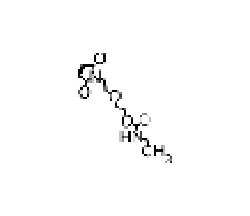 CCNC(=O)OCCOCCN1C(=O)C=CC1=O